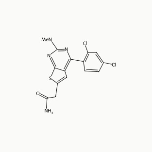 CNc1nc(-c2ccc(Cl)cc2Cl)c2cc(CC(N)=O)sc2n1